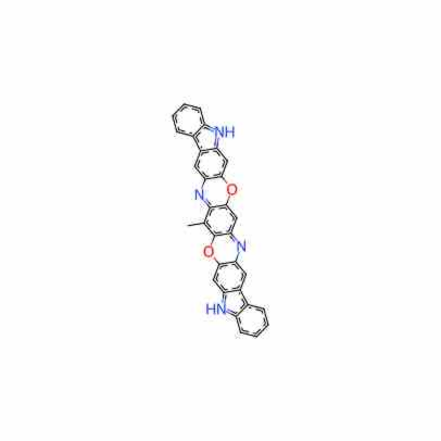 Cc1c2c(cc3c1=Nc1cc4c(cc1O3)[nH]c1ccccc14)=Nc1cc3c(cc1O2)[nH]c1ccccc13